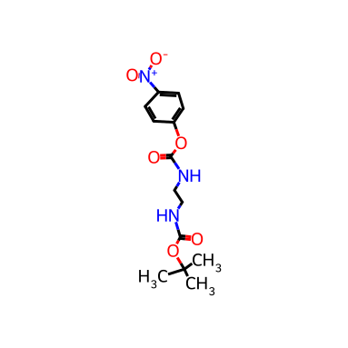 CC(C)(C)OC(=O)NCCNC(=O)Oc1ccc([N+](=O)[O-])cc1